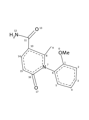 COc1ccccc1-n1c(C)c(C(N)=O)ccc1=O